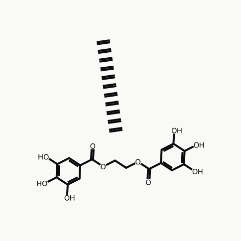 C=C.C=C.C=C.C=C.C=C.C=C.C=C.C=C.C=C.C=C.C=C.O=C(OCCOC(=O)c1cc(O)c(O)c(O)c1)c1cc(O)c(O)c(O)c1